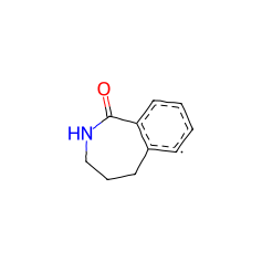 O=C1NCCCc2[c]cccc21